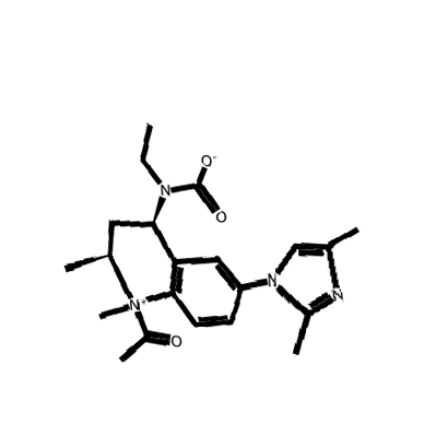 CCN(C(=O)[O-])[C@@H]1C[C@H](C)[N+](C)(C(C)=O)c2ccc(-n3cc(C)nc3C)cc21